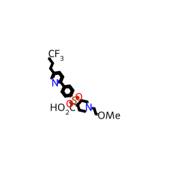 COCCN1CCC(C(=O)O)(S(=O)(=O)c2ccc(-c3ccc(CCCC(F)(F)F)cn3)cc2)CC1